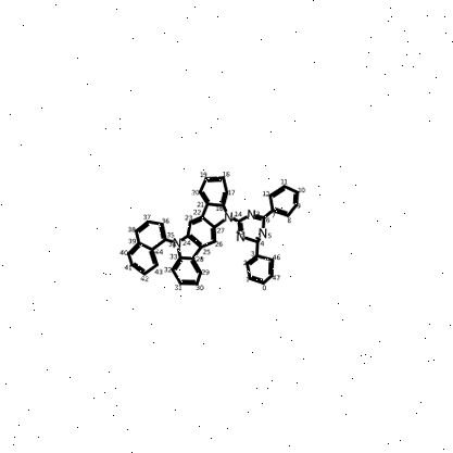 c1ccc(-c2nc(-c3ccccc3)nc(-n3c4ccccc4c4cc5c(cc43)c3ccccc3n5-c3cccc4ccccc34)n2)cc1